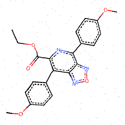 CCOC(=O)c1nc(-c2ccc(OC)cc2)c2nonc2c1-c1ccc(OC)cc1